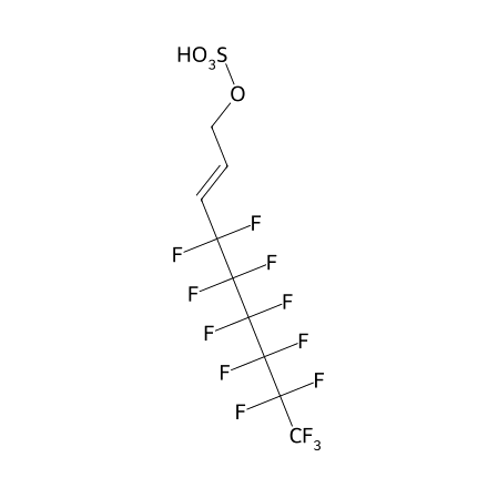 O=S(=O)(O)OC/C=C/C(F)(F)C(F)(F)C(F)(F)C(F)(F)C(F)(F)C(F)(F)F